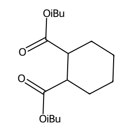 CC(C)COC(=O)C1CCCCC1C(=O)OCC(C)C